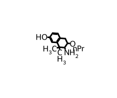 CCCOC1Cc2ccc(O)cc2C(C)(C)C1N